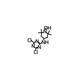 CC1(C)CC(Nc2nc(Cl)nc(Cl)n2)CC(C)(C)N1O